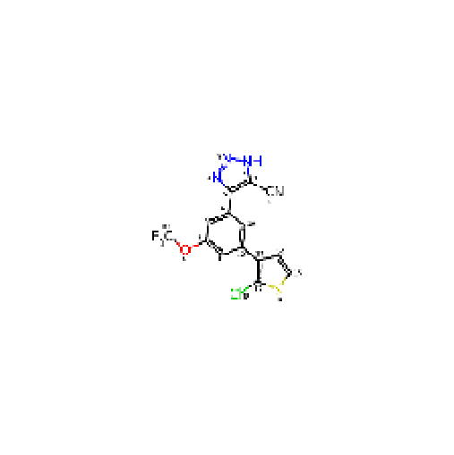 N#Cc1[nH]nnc1-c1cc(OC(F)(F)F)cc(-c2ccsc2Cl)c1